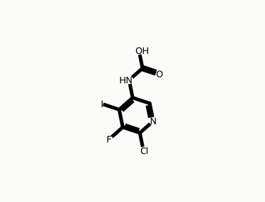 O=C(O)Nc1cnc(Cl)c(F)c1I